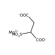 O=C([O-])CC(C(=O)[O-])S(=O)(=O)O.[Mg+2]